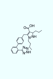 CCCCN1NC(CCC)C(C(=O)O)=C1Cc1ccc(-c2ccccc2-c2nn[nH]n2)cc1